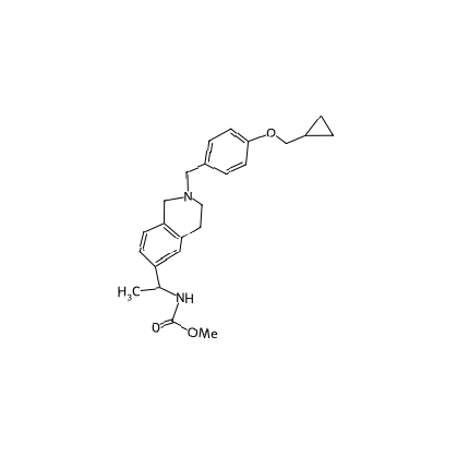 COC(=O)NC(C)c1ccc2c(c1)CCN(Cc1ccc(OCC3CC3)cc1)C2